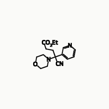 CCOC(=O)CCC(C#N)(c1cccnc1)N1CCOCC1